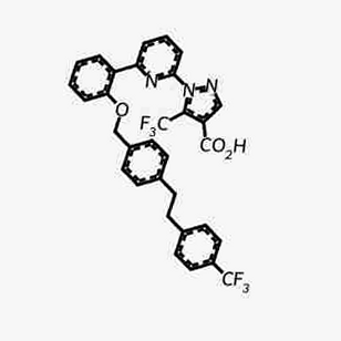 O=C(O)c1cnn(-c2cccc(-c3ccccc3OCc3ccc(CCc4ccc(C(F)(F)F)cc4)cc3)n2)c1C(F)(F)F